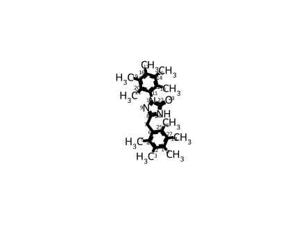 Cc1c(C)c(C)c(Cc2nn(-c3c(C)c(C)c(C)c(C)c3C)c(=O)[nH]2)c(C)c1C